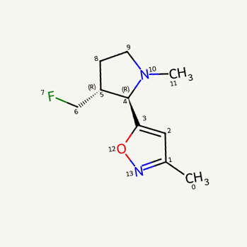 Cc1cc([C@H]2[C@H](CF)CCN2C)on1